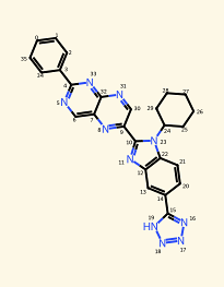 c1ccc(-c2ncc3nc(-c4nc5cc(-c6nnn[nH]6)ccc5n4C4CCCCC4)cnc3n2)cc1